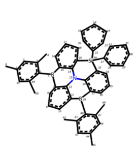 Cc1cc(C)c(B2c3cccc4c3N3c5c2cccc5[Si](c2ccccc2)(c2ccccc2)c2cccc(c23)B4c2c(C)cc(C)cc2C)c(C)c1